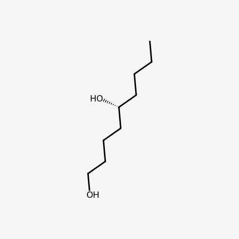 CCCC[C@@H](O)CCCCO